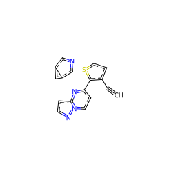 C#Cc1ccsc1-c1ccn2nccc2n1.c1ncc2cc1-2